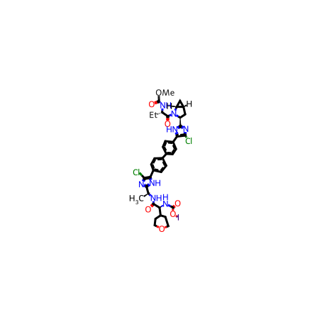 CC[C@H](NC(=O)OC)C(=O)N1[C@@H]2C[C@@H]2C[C@H]1c1nc(Cl)c(-c2ccc(-c3ccc(-c4[nH]c([C@H](C)NC(=O)[C@@H](NC(=O)OI)C5CCOCC5)nc4Cl)cc3)cc2)[nH]1